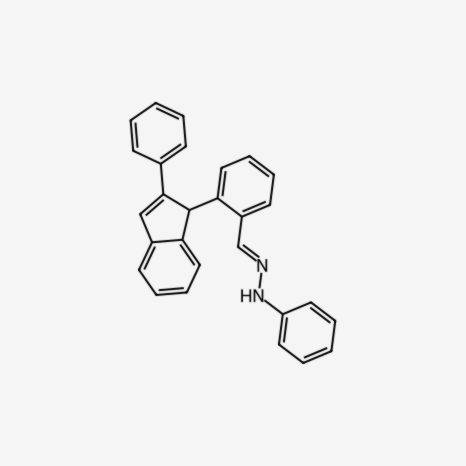 C(=NNc1ccccc1)c1ccccc1C1C(c2ccccc2)=Cc2ccccc21